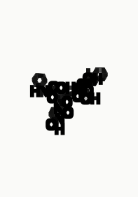 O=C(Nc1ccccc1)O[C@H]1C(O)[C@@H](COP(=O)(O)OP(=O)(O)Cc2ccccc2I)O[C@H]1n1ccc(=O)[nH]c1=O